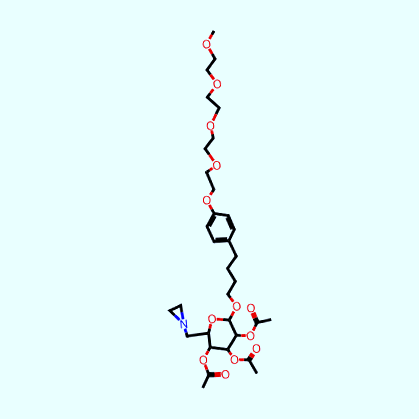 COCCOCCOCCOCCOc1ccc(CCCCOC2OC(CN3CC3)C(OC(C)=O)C(OC(C)=O)C2OC(C)=O)cc1